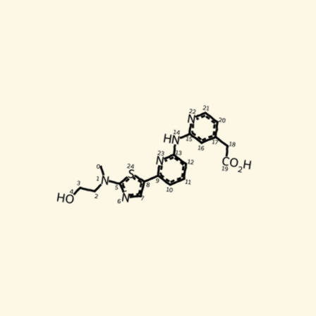 CN(CCO)c1ncc(-c2cccc(Nc3cc(CC(=O)O)ccn3)n2)s1